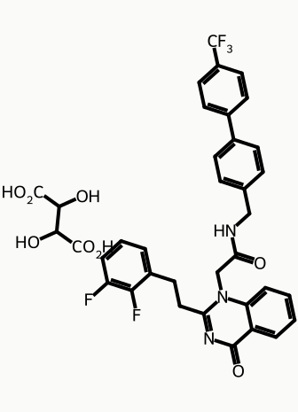 O=C(Cn1c(CCc2cccc(F)c2F)nc(=O)c2ccccc21)NCc1ccc(-c2ccc(C(F)(F)F)cc2)cc1.O=C(O)C(O)C(O)C(=O)O